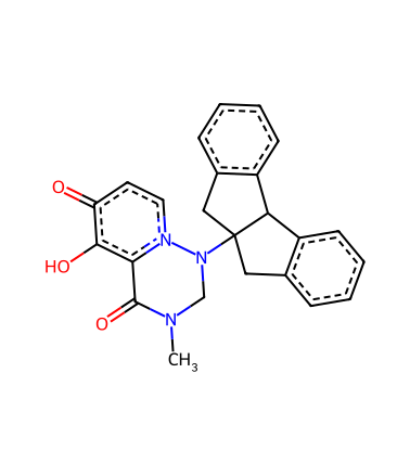 CN1CN(C23Cc4ccccc4C2c2ccccc2C3)n2ccc(=O)c(O)c2C1=O